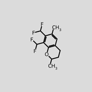 Cc1cc2c(c(C(F)F)c1C(F)F)OC(C)CC2